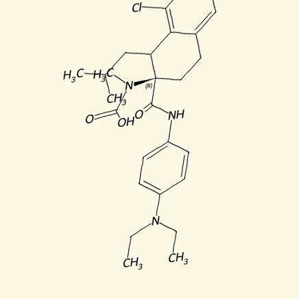 CCN(CC)c1ccc(NC(=O)[C@@]2(N(C)C(=O)O)CCc3cccc(Cl)c3C2CC(C)C)cc1